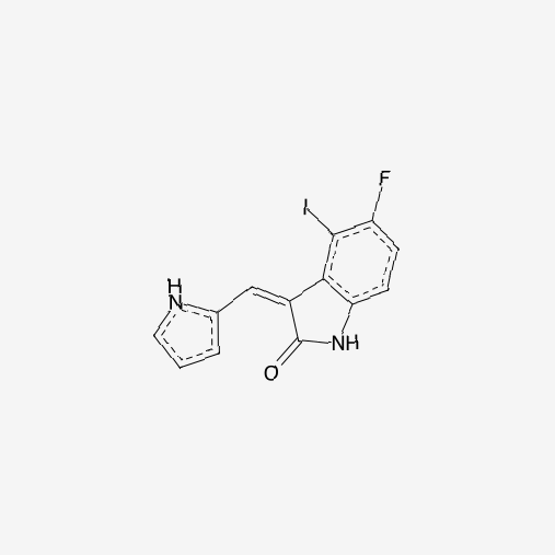 O=C1Nc2ccc(F)c(I)c2/C1=C/c1ccc[nH]1